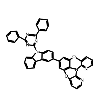 c1ccc(-c2nc(-c3ccccc3)nc(-n3c4ccccc4c4cc(-c5cc6c7c(c5)Oc5cccnc5N7c5ncccc5O6)ccc43)n2)cc1